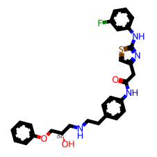 O=C(Cc1csc(Nc2cccc(F)c2)n1)Nc1ccc(CCNC[C@H](O)COc2ccccc2)cc1